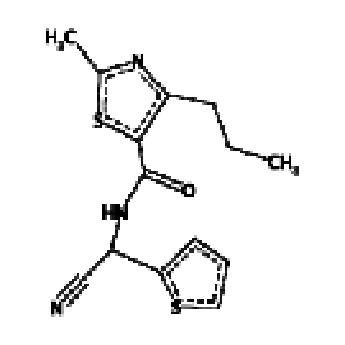 CCCc1nc(C)sc1C(=O)NC(C#N)c1cccs1